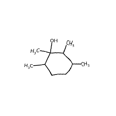 CC1CCC(C)C(C)(O)C1C